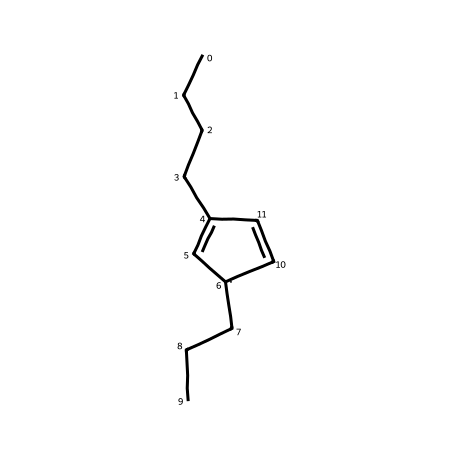 CCCCC1=C[C](CCC)C=C1